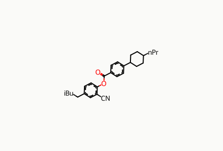 CCCC1CCC(c2ccc(C(=O)Oc3ccc(CC(C)CC)cc3C#N)cc2)CC1